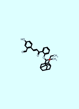 CCOC(Oc1ccccc1C(=O)C=Cc1ccc(O)cc1C=O)C12CC3CC(CC(C3)C1OC)C2